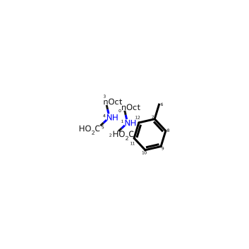 CCCCCCCCNC(=O)O.CCCCCCCCNC(=O)O.Cc1ccccc1